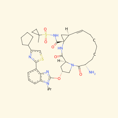 CC(C)n1c(O[C@@H]2C[C@H]3C(=O)N[C@]4(C(=O)NS(=O)(=O)C5(C)CC5)C[C@H]4/C=C\CCCCC[C@H](N)C(=O)N3C2)nc2c(-c3nc(C4CCCC4)cs3)cccc21